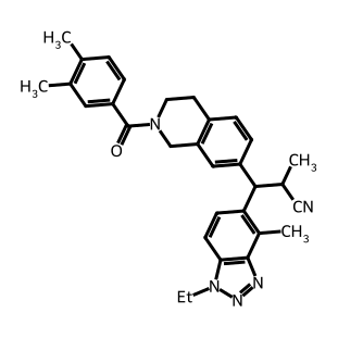 CCn1nnc2c(C)c(C(c3ccc4c(c3)CN(C(=O)c3ccc(C)c(C)c3)CC4)C(C)C#N)ccc21